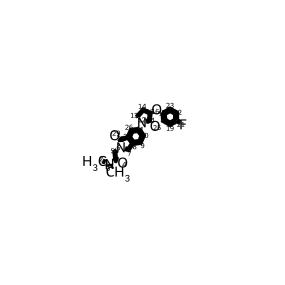 CN(C)C(=O)CN1Cc2ccc(N3CC[C@@H](Oc4ccc(F)cc4)C3=O)cc2C1=O